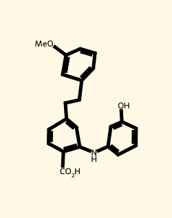 COc1cccc(CCc2ccc(C(=O)O)c(Nc3cccc(O)c3)c2)c1